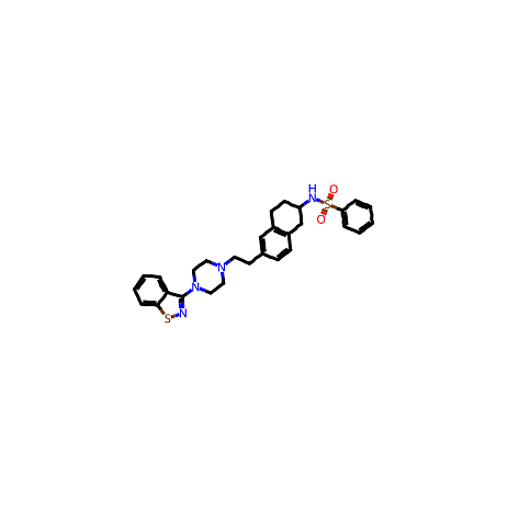 O=S(=O)(NC1CCc2cc(CCN3CCN(c4nsc5ccccc45)CC3)ccc2C1)c1ccccc1